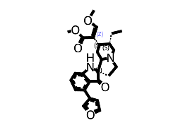 CC[C@@H]1CN2CC[C@]3(Nc4cccc(-c5ccoc5)c4C3=O)C2C[C@@H]1/C(=C/OC)C(=O)OC